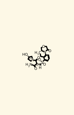 CCc1c(N2CCOCC2=O)cccc1S(=O)(=O)N[C@@H](C(N)=O)C(=O)N1CC[C@@H](O)C1